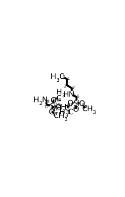 CCCCNC[Si](OC)(OC)OC.CO[Si](C)(CN)OC